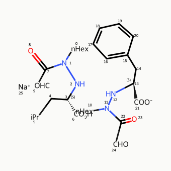 CCCCCCN(N[C@@H](CC(C)C)C(=O)O)C(=O)C=O.CCCCCCN(N[C@@H](Cc1ccccc1)C(=O)[O-])C(=O)C=O.[Na+]